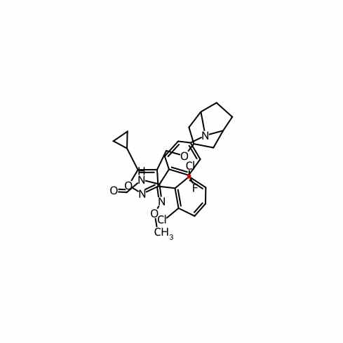 CO/N=C(\NC=O)c1ccc(N2C3CCC2CC(OCc2c(-c4c(Cl)cccc4Cl)noc2C2CC2)C3)cc1F